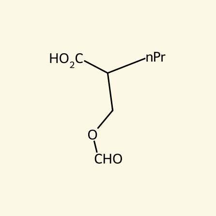 CCCC(COC=O)C(=O)O